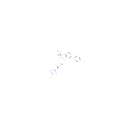 CCOc1ccc(-c2cccc(N(CC34CCC(c5nc(C(C)C)no5)(CC3)CC4)C(=O)[C@@H]3CC4(F)CC3C4)c2)cc1